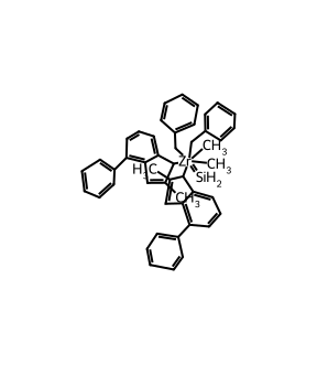 CC1=Cc2c(-c3ccccc3)cccc2[CH]1[Zr]([CH3])([CH3])(=[SiH2])([CH2]c1ccccc1)([CH2]c1ccccc1)[CH]1C(C)=Cc2c(-c3ccccc3)cccc21